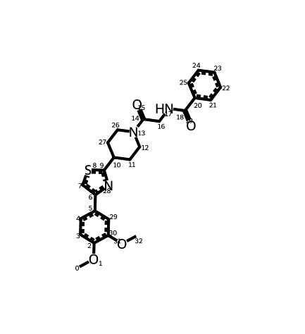 COc1ccc(-c2csc(C3CCN(C(=O)CNC(=O)c4ccccc4)CC3)n2)cc1OC